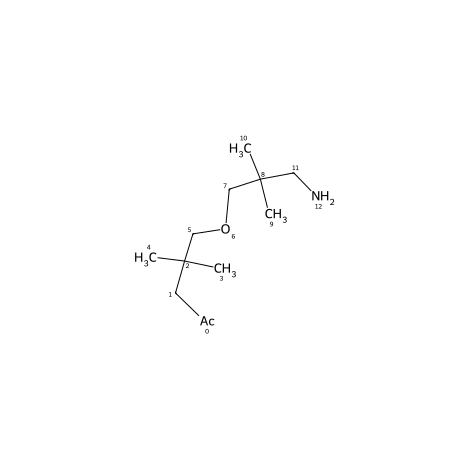 CC(=O)CC(C)(C)COCC(C)(C)CN